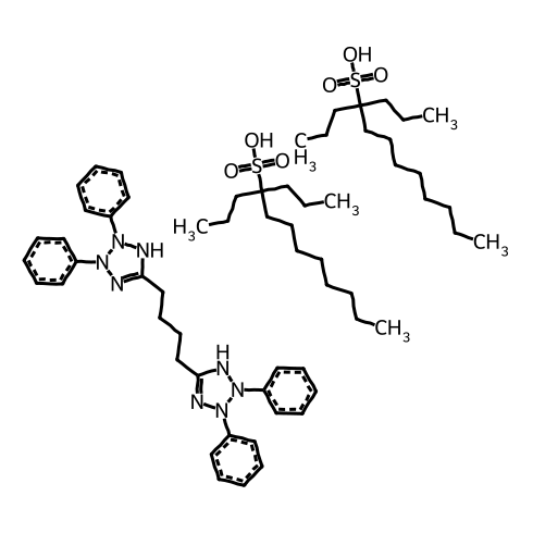 CCCCCCCCC(CCC)(CCC)S(=O)(=O)O.CCCCCCCCC(CCC)(CCC)S(=O)(=O)O.c1ccc(N2N=C(CCCCC3=NN(c4ccccc4)N(c4ccccc4)N3)NN2c2ccccc2)cc1